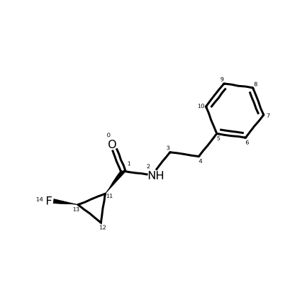 O=C(NCCc1ccccc1)[C@H]1C[C@H]1F